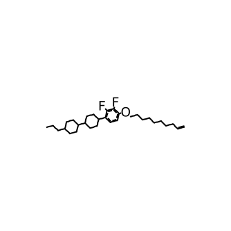 C=CCCCCCCCCOc1ccc(C2CCC(C3CCC(CCC)CC3)CC2)c(F)c1F